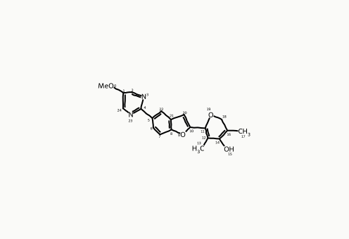 COc1cnc(-c2ccc3oc(C4=C(C)C(O)=C(C)CO4)cc3c2)nc1